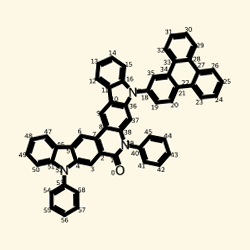 O=c1c2cc3c(cc2c2cc4c5ccccc5n(-c5ccc6c7ccccc7c7ccccc7c6c5)c4cc2n1-c1ccccc1)c1ccccc1n3-c1ccccc1